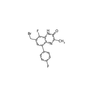 Cc1nc2c(-c3ccc(F)cc3)cc(CBr)c(F)c2[nH]c1=O